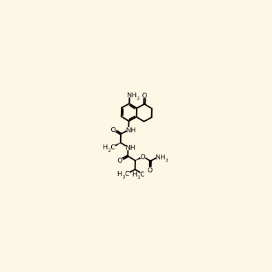 CC(C)[C@H](OC(N)=O)C(=O)N[C@@H](C)C(=O)Nc1ccc(N)c2c1CCCC2=O